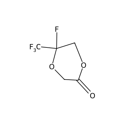 O=C1COC(F)(C(F)(F)F)CO1